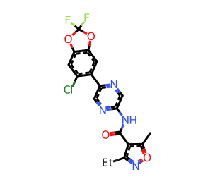 CCc1noc(C)c1C(=O)Nc1cnc(-c2cc3c(cc2Cl)OC(F)(F)O3)cn1